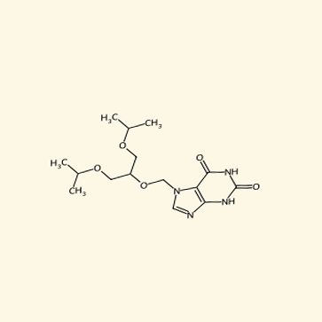 CC(C)OCC(COC(C)C)OCn1cnc2[nH]c(=O)[nH]c(=O)c21